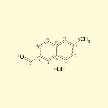 Cc1ccc2cc(C=O)ccc2c1.[LiH]